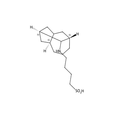 O=S(=O)(O)CCCCNC1[C@@H]2CC3C[C@@H]1CCC[C@H]3C2